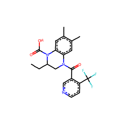 CCC1CN(C(=O)c2cnccc2C(F)(F)F)c2cc(C)c(C)cc2N1C(=O)O